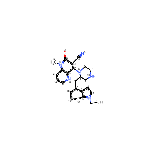 CCn1ccc2c(CC3CNCCN3c3c(C#N)c(=O)n(C)c4cccnc34)cccc21